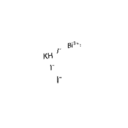 [Bi+3].[I-].[I-].[I-].[KH]